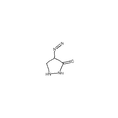 [N]=NC1CNNC1=O